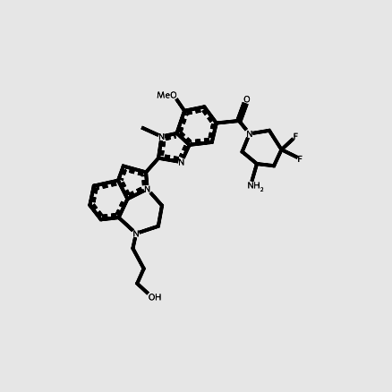 COc1cc(C(=O)N2CC(N)CC(F)(F)C2)cc2nc(-c3cc4cccc5c4n3CCN5CCCO)n(C)c12